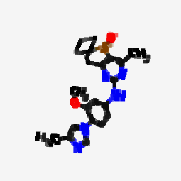 COc1cc(Nc2nc(C)c3c(n2)CC2(CCC2)[S+]3[O-])ccc1-n1cnc(C)c1